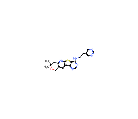 CC1(C)Cc2nc3sc4c(NCCc5cncnc5)ncnc4c3cc2CO1